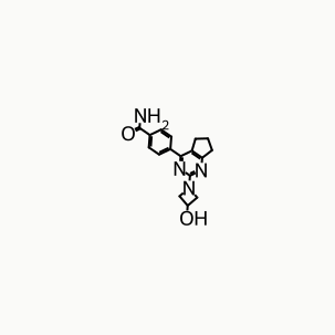 NC(=O)c1ccc(-c2nc(N3CC(O)C3)nc3c2CCC3)cc1